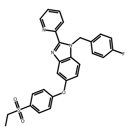 CCS(=O)(=O)c1ccc(Oc2ccc3c(c2)nc(-c2ccccn2)n3Cc2ccc(F)cc2)cc1